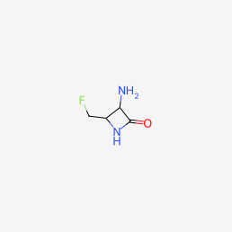 NC1C(=O)NC1CF